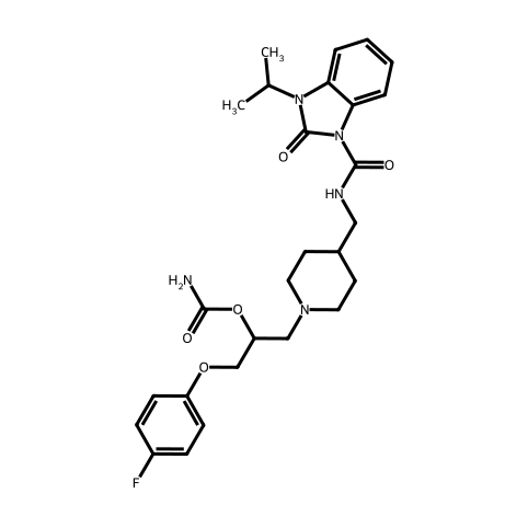 CC(C)n1c(=O)n(C(=O)NCC2CCN(CC(COc3ccc(F)cc3)OC(N)=O)CC2)c2ccccc21